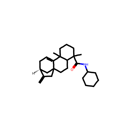 C=C1CC23CCC4C(C)(C(=O)NC5CCCCC5)CCCC4(C)C2=CC[C@H]1C3